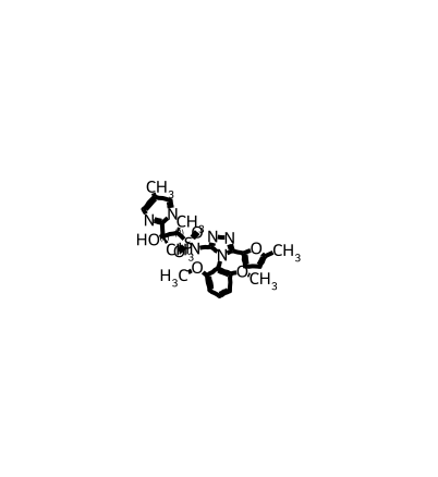 COc1cccc(OC)c1-n1c(NS(=O)(=O)[C@H](C)[C@](C)(O)c2ncc(C)cn2)nnc1-c1ccc(C)o1